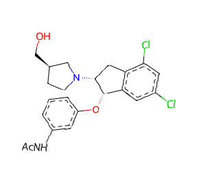 CC(=O)Nc1cccc(O[C@H]2c3cc(Cl)cc(Cl)c3C[C@H]2N2CC[C@@H](CO)C2)c1